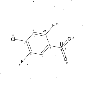 O=[SH](=O)c1cc(F)c(Cl)cc1F